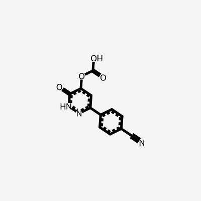 N#Cc1ccc(-c2cc(OC(=O)O)c(=O)[nH]n2)cc1